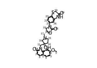 COc1ccc2ccc(=O)n(C[C@]3(O)CCN(C[C@@H]4CN(c5ccc6c(c5)NC(=O)CS6)C(=O)O4)C3)c2c1